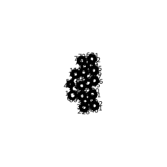 C1=CC(c2ccc(-c3ccccc3)n2-c2ccc3c(-c4ccc5c(c4)C4(c6ccccc6-c6ccccc64)c4ccccc4-5)c4ccccc4c(-c4ccc5c(c4)C4(c6ccccc6-c6ccccc64)c4ccccc4-5)c3c2)CCC1